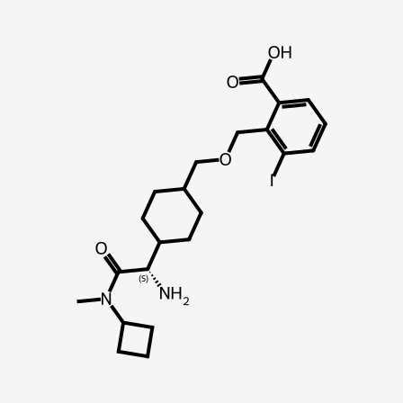 CN(C(=O)[C@@H](N)C1CCC(COCc2c(I)cccc2C(=O)O)CC1)C1CCC1